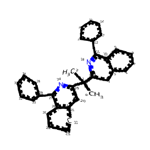 CC(C)(c1cc2ccccc2c(-c2ccccc2)n1)c1cc2ccccc2c(-c2ccccc2)n1